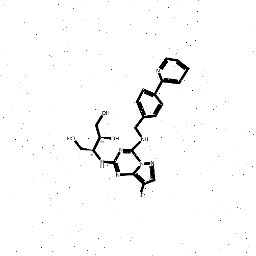 CC(C)c1cnn2c(NCc3ccc(-c4ccccn4)cc3)nc(N[C@@H](CO)[C@H](O)CO)nc12